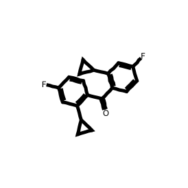 O=C(c1ccc(F)cc1C1CC1)c1ccc(F)cc1C1CC1